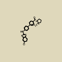 O=C(O)[C@@H]1CCC[C@H]1C(=O)c1ccc(-c2ccc(Nc3nc4cc(Cl)ccc4s3)cc2)cc1